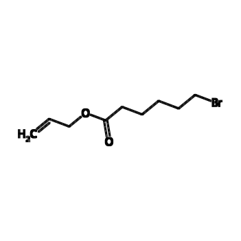 C=CCOC(=O)CCCCCBr